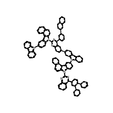 c1ccc(-c2ccc(-c3nc(-n4c5ccc(-n6c7ccccc7c7ccc(-c8ccc9nc(-n%10c%11ccc(-n%12c%13ccccc%13c%13ccccc%13%12)cc%11c%11c%12ccccc%12ccc%11%10)nc(-c%10cccc(-c%11ccc%12ccccc%12c%11)c%10)c9c8)cc76)cc5c5c6ccccc6ccc54)nc4ccccc34)cc2-c2ccccc2)cc1